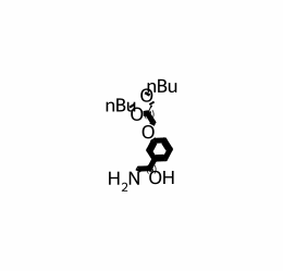 CCCCOC[C@H](COc1cccc([C@H](O)CN)c1)OCCCC